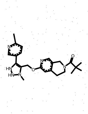 Cc1ccc(C2=C(COc3cc4c(cn3)CN(C(=O)C(C)(C)C)CC4)N(C)NN2)cn1